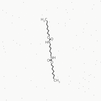 CCCCCCCCOC(=O)NCCCCCCNC(=O)OCCCCCCCC